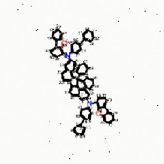 c1ccc(-c2ccc(N(c3ccc4c5c(ccc4c3)-c3ccc4cc(N(c6ccc(-c7ccccc7)cc6)c6cccc7c6oc6ccccc67)ccc4c3C5(c3ccccc3)c3ccccc3)c3cccc4c3oc3ccccc34)cc2)cc1